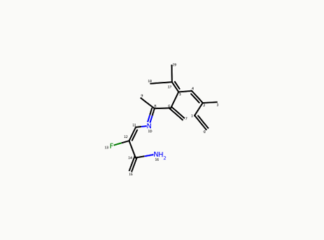 C=C/C(C)=C\C(C(=C)/C(C)=N/C=C(/F)C(=C)N)=C(C)C